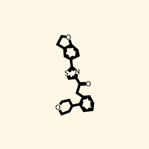 O=C(Cc1ccccc1C1CCOCC1)c1csc(-c2ccc3c(c2)CCO3)n1